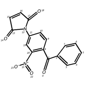 O=C(c1ccccc1)c1ccc(N2C(=O)C=CC2=O)cc1[N+](=O)[O-]